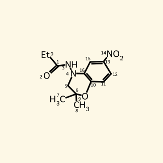 CCC(=O)NN1CC(C)(C)Oc2ccc([N+](=O)[O-])cc21